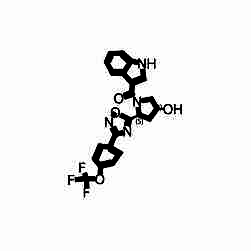 O=C(c1c[nH]c2ccccc12)N1C[C@H](O)C[C@H]1c1nc(-c2ccc(OC(F)(F)F)cc2)no1